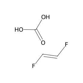 F/C=C/F.O=C(O)O